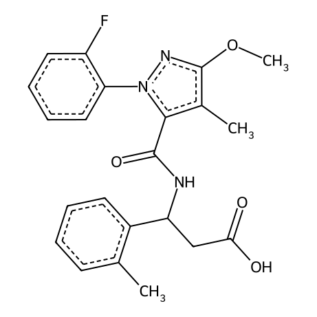 COc1nn(-c2ccccc2F)c(C(=O)NC(CC(=O)O)c2ccccc2C)c1C